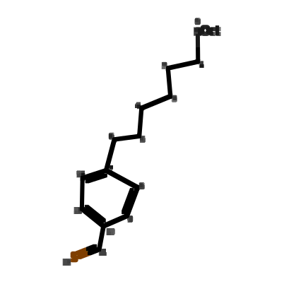 CCCCCCCCCCCCCCc1ccc(C=S)cc1